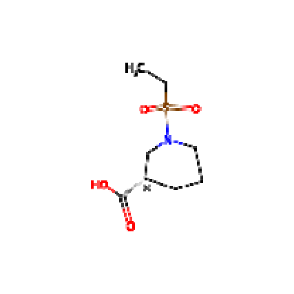 CCS(=O)(=O)N1CCC[C@H](C(=O)O)C1